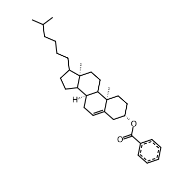 CC(C)CCCCC1CCC2[C@@H]3CC=C4C[C@@H](OC(=O)c5ccccc5)CC[C@]4(C)C3CC[C@]12C